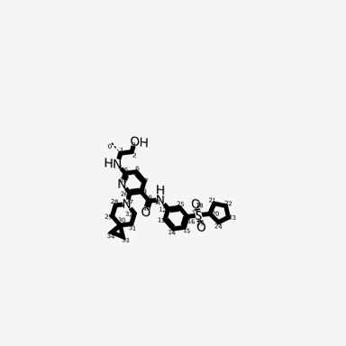 C[C@H](CO)Nc1ccc(C(=O)Nc2cccc(S(=O)(=O)C3CCCC3)c2)c(N2CCC3(CC2)CC3)n1